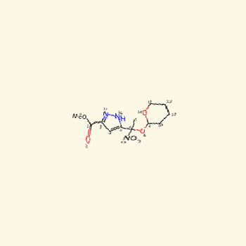 COC(=O)c1cc(C(C)(OC2CCCCO2)[N+](=O)[O-])[nH]n1